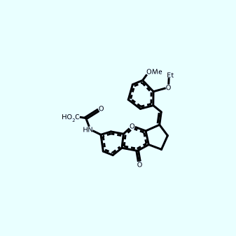 CCOc1c(/C=C2/CCc3c2oc2cc(NC(=O)C(=O)O)ccc2c3=O)cccc1OC